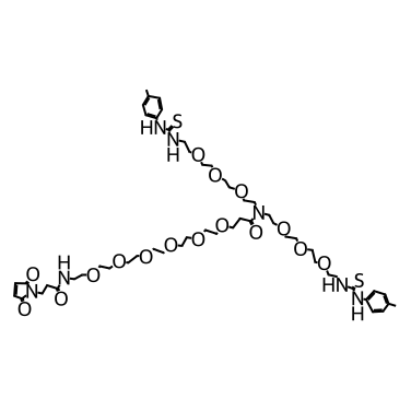 Cc1ccc(NC(=S)NCCOCCOCCOCCN(CCOCCOCCOCCNC(=S)Nc2ccc(C)cc2)C(=O)CCOCCOCCOCCOCCOCCOCCNC(=O)CCN2C(=O)C=CC2=O)cc1